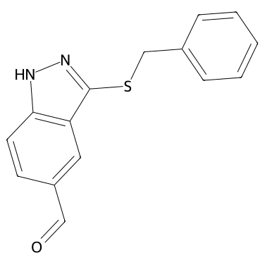 O=Cc1ccc2[nH]nc(SCc3ccccc3)c2c1